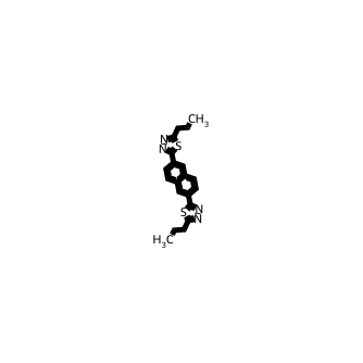 CCCc1nnc(-c2ccc3cc(-c4nnc(CCC)s4)ccc3c2)s1